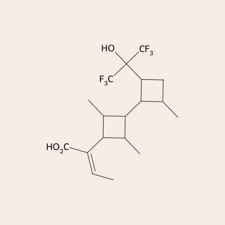 C/C=C(/C(=O)O)C1C(C)C(C2C(C)CC2C(O)(C(F)(F)F)C(F)(F)F)C1C